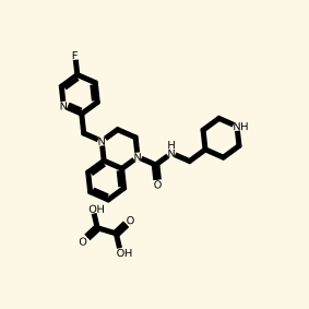 O=C(NCC1CCNCC1)N1CCN(Cc2ccc(F)cn2)c2ccccc21.O=C(O)C(=O)O